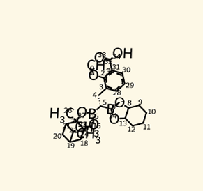 COc1c(C[C@H](B2OC3CCCCC3O2)B2OC3CC4CC(C4(C)C)C3(C)O2)cccc1C(=O)O